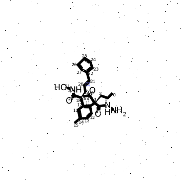 CCC[C@@](C(C)=O)(C(=O)NN)c1ccc(C)cc1[C@H](C/C=C/c1ccccc1)C(=O)NO